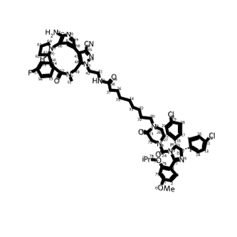 COc1ccc(C2=N[C@@H](c3ccc(Cl)cc3)[C@@H](c3ccc(Cl)cc3)N2C(=O)N2CCN(CCCCCCCCC(=O)NCCn3nc(C#N)c4c3CN(C)C(=O)c3ccc(F)cc3[C@H]3CCCN3c3cc-4cnc3N)C(=O)C2)c(OC(C)C)c1